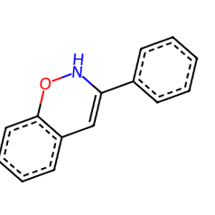 C1=C(c2ccccc2)NOc2ccccc21